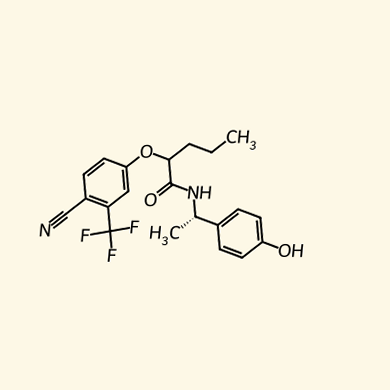 CCCC(Oc1ccc(C#N)c(C(F)(F)F)c1)C(=O)N[C@@H](C)c1ccc(O)cc1